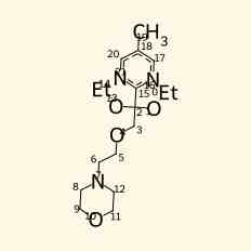 CCOC(COCCN1CCOCC1)(OCC)c1ncc(C)cn1